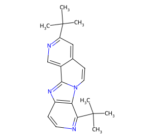 CC(C)(C)c1cc2ccn3c(nc4ccnc(C(C)(C)C)c43)c2cn1